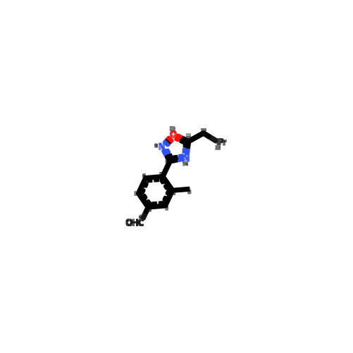 Cc1cc(C=O)ccc1-c1noc(CC(C)C)n1